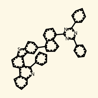 c1ccc(-c2nc(-c3ccccc3)nc(-c3cccc4c(-c5ccc6sc7ccc8c9ccccc9nc(-c9ccccc9)c8c7c6c5)cccc34)n2)cc1